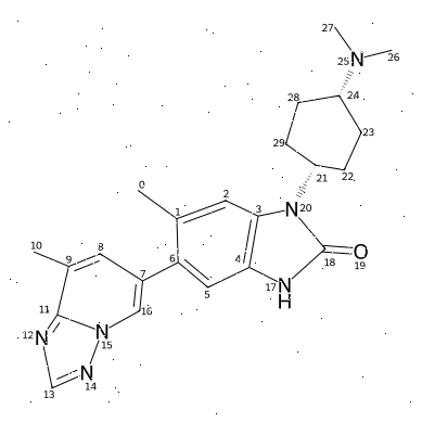 Cc1cc2c(cc1-c1cc(C)c3ncnn3c1)[nH]c(=O)n2[C@H]1CC[C@@H](N(C)C)CC1